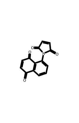 O=C1C=CC(=O)c2c1cccc2N1C(=O)C=CC1=O